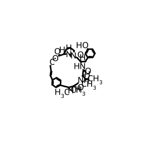 CC(C)[C@@H]1NC(=O)[C@H](C)[C@H](C)c2ccc(cc2)/C=C/CCOC(=O)[C@@H]2CCCN(N2)C(=O)[C@H](Cc2cccc(O)c2)NC1=O